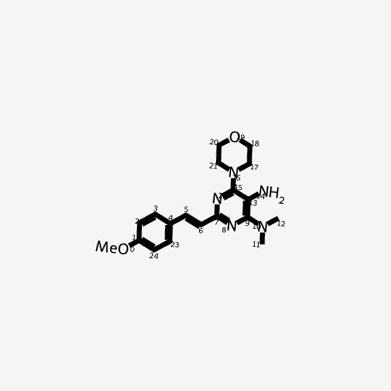 COc1ccc(/C=C/c2nc(N(C)C)c(N)c(N3CCOCC3)n2)cc1